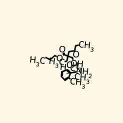 CCCCOC(=O)C(CCCC)(C(=O)O)C(C)C.Cc1ccccc1C(C)(C)N